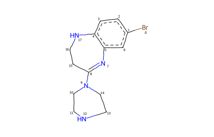 Brc1ccc2c(c1)N=C(N1CCNCC1)CCN2